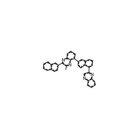 Cc1nc2c(-c3ccc4c(-c5cnc6ccccc6n5)cccc4c3)cccc2nc1-c1ccc2ccccc2c1